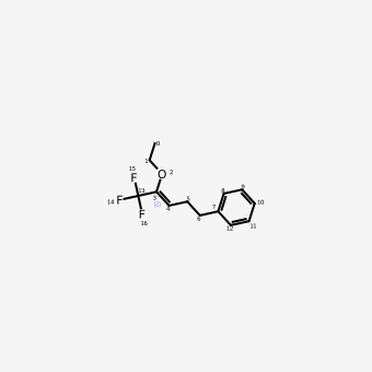 CCO/C(=C\CCc1ccccc1)C(F)(F)F